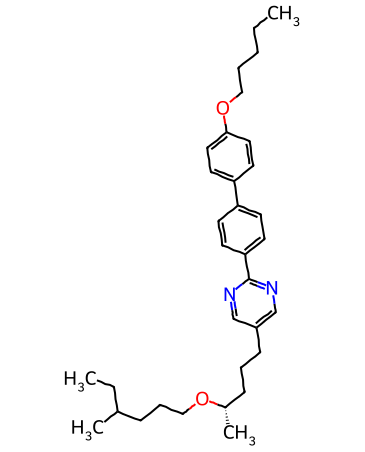 CCCCCOc1ccc(-c2ccc(-c3ncc(CCC[C@H](C)OCCCC(C)CC)cn3)cc2)cc1